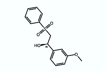 COc1cccc([C@@H](O)CS(=O)(=O)c2ccccc2)c1